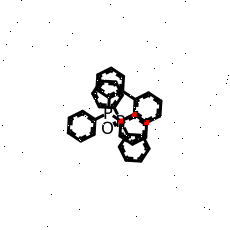 O=P(c1ccccc1)(c1ccccc1)c1ccccc1-c1ccccc1P(c1ccccc1)c1ccccc1